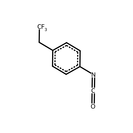 O=C=Nc1ccc(CC(F)(F)F)cc1